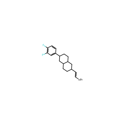 CCCC=CC1CCC2CC(c3ccc(F)c(F)c3)CCC2C1